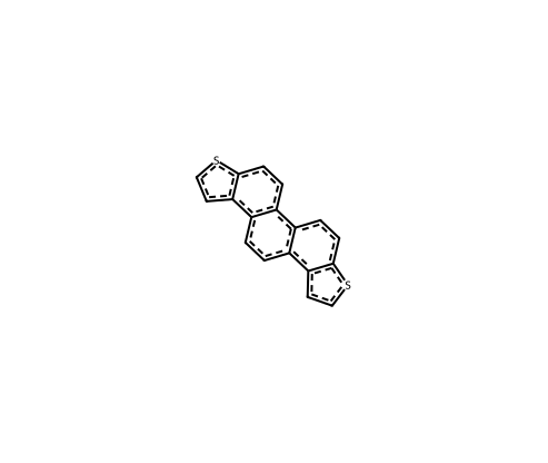 c1cc2c(ccc3c2ccc2c4ccsc4ccc23)s1